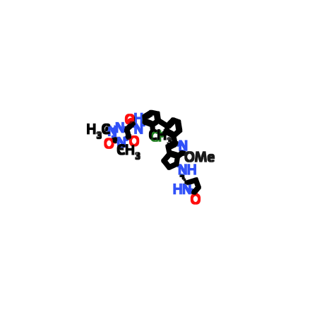 COc1nc(-c2cccc(-c3cccc(NC(=O)c4nn(C)c(=O)n(C)c4=O)c3C)c2Cl)cc2c1[C@@H](NC[C@@H]1CCC(=O)N1)CC2